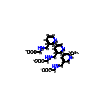 O=C([O-])CNCc1cccnc1.O=C([O-])CNCc1cccnc1.O=C([O-])CNCc1cccnc1.[Cr+3]